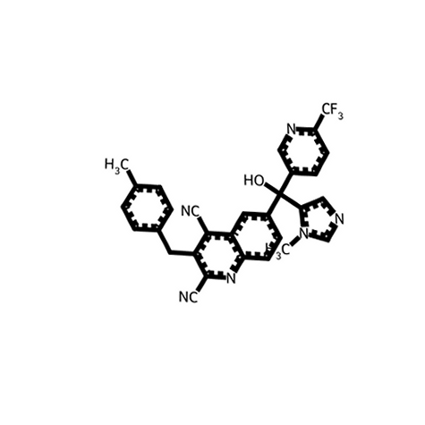 Cc1ccc(Cc2c(C#N)nc3ccc(C(O)(c4ccc(C(F)(F)F)nc4)c4cncn4C)cc3c2C#N)cc1